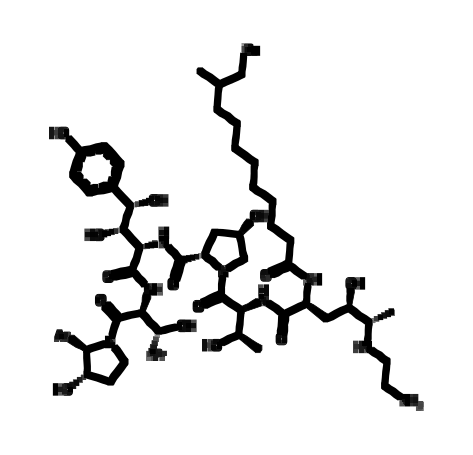 CCC[C@@H](O)[C@H](NC(=O)[C@@H](NC(=O)[C@@H]1C[C@@H](O)CN1C(=O)[C@@H](NC(=O)[C@H](C[C@@H](O)[C@H](C)NCCN)NC(=O)CCCCCCCCC(C)CC(C)CC)[C@@H](C)O)[C@H](O)[C@@H](O)c1ccc(O)cc1)C(=O)N1CC[C@H](O)[C@H]1C(C)=O